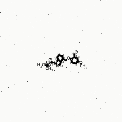 COc1ccc(OCc2cccc3c2cnn3C(=O)OC(C)(C)C)c(C=O)c1